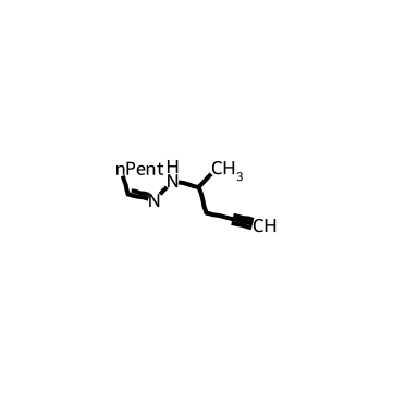 C#CCC(C)N/N=C\CCCCC